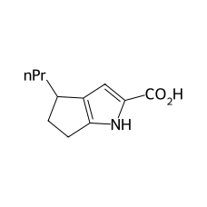 CCCC1CCc2[nH]c(C(=O)O)cc21